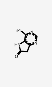 CC(C)c1ncnc2c1NC(=O)C2